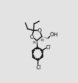 CCC1(CC)O[C@H](c2ccc(Cl)cc2Cl)[C@@H](CO)O1